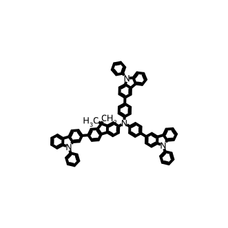 CC1(C)c2cc(-c3ccc4c5ccccc5n(-c5ccccc5)c4c3)ccc2-c2ccc(N(c3ccc(-c4ccc5c(c4)c4ccccc4n5-c4ccccc4)cc3)c3ccc(-c4ccc5c(c4)c4ccccc4n5-c4ccccc4)cc3)cc21